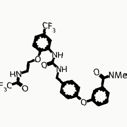 CNC(=O)c1cccc(Oc2ccc(CNC(=O)Nc3cc(C(F)(F)F)ccc3OCCNC(=O)C(F)(F)F)cc2)c1